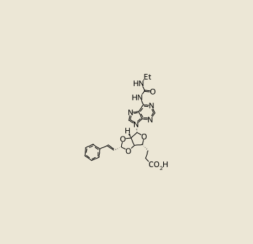 CCNC(=O)Nc1ncnc2c1ncn2[C@@H]1O[C@H](CCC(=O)O)C2O[C@H](C=Cc3ccccc3)O[C@@H]21